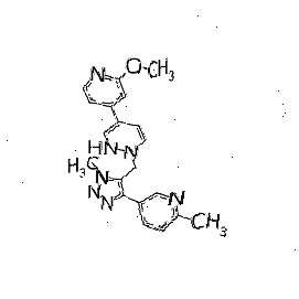 COc1cc(C2=CNN(Cc3c(-c4ccc(C)nc4)nnn3C)C=C2)ccn1